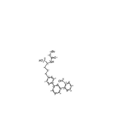 CC(C)(C)OC(=O)NC(CSCc1ccc(-c2cccc(-c3ccccc3C=O)c2)cc1)C(=O)O